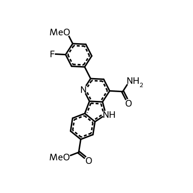 COC(=O)c1ccc2c(c1)[nH]c1c(C(N)=O)cc(-c3ccc(OC)c(F)c3)nc12